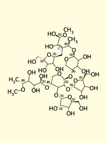 CO[C@H](O)/C(O)=C(/C[C@@H]1O[C@@H](CO)C(O)C1O)[C@@H](C)O[C@@H]1OC[C@@H](O[C@@H]2OC[C@@H](O[C@H](O)C(O)C(O)[C@@H](C)OC)C(O[C@@H]3O[C@@H](CO)C(O)[C@@H]3O)C2O[C@@H]2O[C@@H](CO)C(O)C2O)C(O)C1O